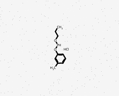 CCCOPOc1cccc(C)c1.Cl